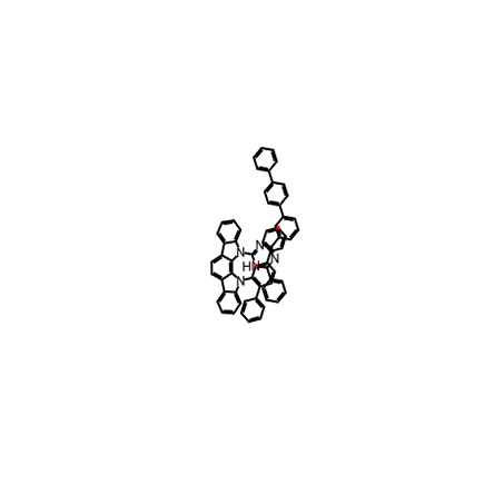 c1ccc(-c2ccc(-c3cccc(C4=NC(c5ccccc5)NC(n5c6ccccc6c6ccc7c8ccccc8n(-c8cc(-c9ccccc9)ccc8-c8ccccc8)c7c65)=N4)c3)cc2)cc1